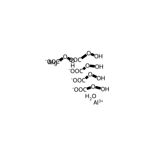 O.O=C([O-])OO.O=C([O-])OO.O=C([O-])OO.O=C([O-])OO.O=C([O-])OO.[Al+3].[Mg+2]